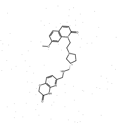 COc1ccc2ccc(=O)n(CCN3CC[C@H](CNCc4ccc5c(n4)NC(=O)CO5)C3)c2c1